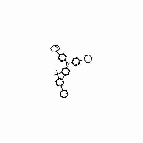 CC1(C)c2ccc(-c3ccccc3)cc2-c2ccc(N(c3ccc(C4CCCCC4)cc3)c3ccc(C45CCC(CC4)C5)cc3)cc21